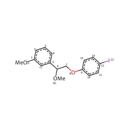 COc1cccc(C(COc2ccc(I)cc2)OC)c1